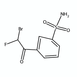 NS(=O)(=O)c1cccc(C(=O)C(F)Br)c1